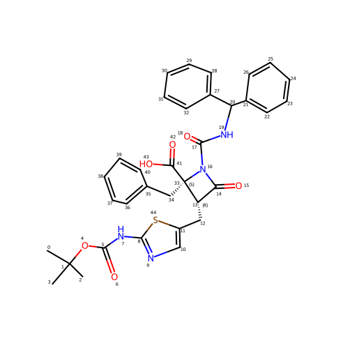 CC(C)(C)OC(=O)Nc1ncc(C[C@H]2C(=O)N(C(=O)NC(c3ccccc3)c3ccccc3)[C@]2(Cc2ccccc2)C(=O)O)s1